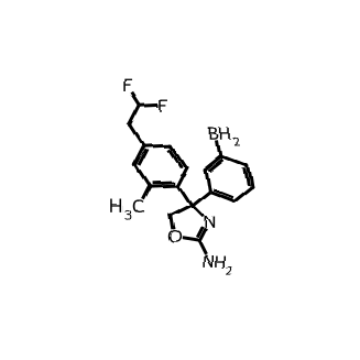 Bc1cccc(C2(c3ccc(CC(F)F)cc3C)COC(N)=N2)c1